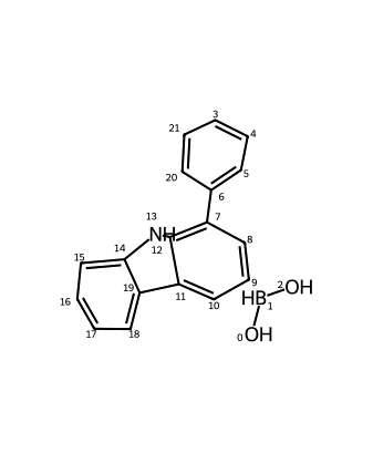 OBO.c1ccc(-c2cccc3c2[nH]c2ccccc23)cc1